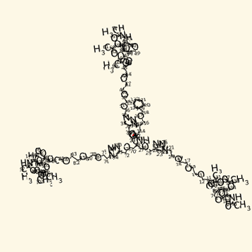 CC(=O)N[C@H]1[C@H]2OC[C@](COCCOCCOCCOCCn3cc(COCC(COCc4cn(CCOCCOCCOCCOC[C@@]56CO[C@@H](O5)[C@H](NC(C)=O)[C@@H](OC(C)=O)[C@H]6OC(C)=O)nn4)(COCc4cn(CCOCCOCCOCCOC[C@@]56OO[C@@H](O5)[C@H](NC(C)=O)[C@@H](OC(C)=O)[C@H]6OC(C)=O)nn4)NC(=O)CCCOCc4ccccc4)nn3)(O2)[C@H](OC(C)=O)[C@@H]1OC(C)=O